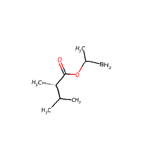 BC(C)OC(=O)[C@@H](C)C(C)C